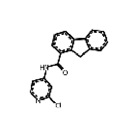 O=C(Nc1ccnc(Cl)c1)c1cccc2c1Cc1ccccc1-2